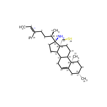 C/C=C(/CC[C@@H](C)[C@@]1(N)CCC2C3CC=C4C[C@@H](C)CC[C@]4(C)C3CC[C@@]21CS)C(C)C